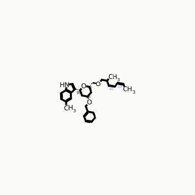 C/C=C\C=C/C(C)COC[C@@H]1C[C@H](OCC2=CC=CCC2)C[C@H](c2c[nH]c3ccc(C)cc23)O1